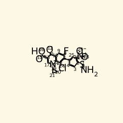 NSc1ccc(-c2c(F)cc3c(=O)c(C(=O)O)cn(C4CC4)c3c2Cl)cc1[N+](=O)[O-]